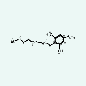 CCOCCOCCOCc1c(C)cc(C)cc1C